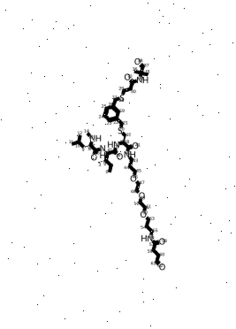 CC[C@H](C)[C@H](NC(=O)[C@H](CC(C)C)NC)C(=O)N[C@@H](CSCc1cccc(CSCCC(=O)NC(C)(C)C=O)c1)C(=O)NCCCOCCOCCOCCCNC(=O)CCC=O